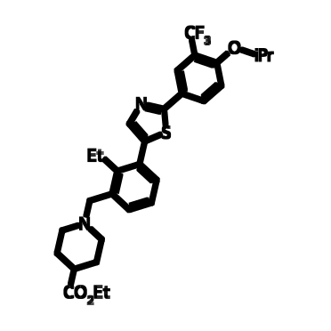 CCOC(=O)C1CCN(Cc2cccc(-c3cnc(-c4ccc(OC(C)C)c(C(F)(F)F)c4)s3)c2CC)CC1